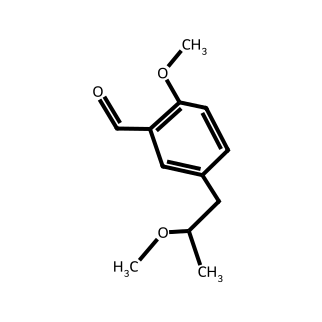 COc1ccc(CC(C)OC)cc1C=O